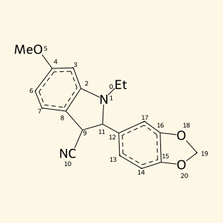 CCN1c2cc(OC)ccc2C(C#N)C1c1ccc2c(c1)OCO2